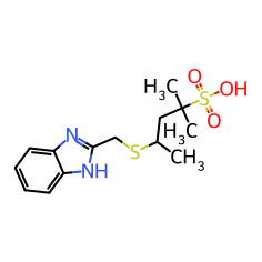 CC(CC(C)(C)S(=O)(=O)O)SCc1nc2ccccc2[nH]1